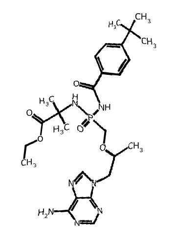 CCOC(=O)C(C)(C)NP(=O)(COC(C)Cn1cnc2c(N)ncnc21)NC(=O)c1ccc(C(C)(C)C)cc1